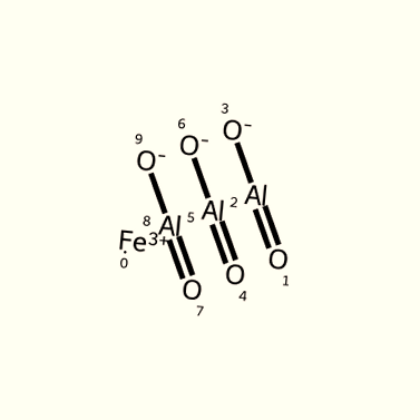 [Fe+3].[O]=[Al][O-].[O]=[Al][O-].[O]=[Al][O-]